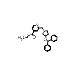 CCOC(=O)c1ccnc(CN2CC[C@H](OC(c3ccccc3)c3ccccc3)C2)c1